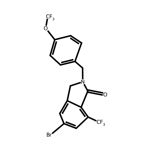 O=C1c2c(cc(Br)cc2C(F)(F)F)CN1Cc1ccc(OC(F)(F)F)cc1